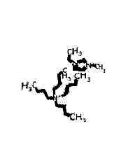 CCCC[N+](CCCC)(CCCC)CCCC.CCn1cc[n+](C)c1